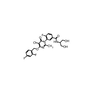 Cc1nc(OCc2ccc(F)cc2F)c(Cl)c(=O)n1-c1cc(C(=O)NC(CO)CO)ccc1F